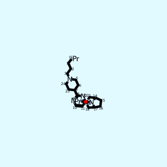 CC(C)CCCN1CCC(c2nccc(N3C4CCC3CN(C(C)C)C4)n2)CC1